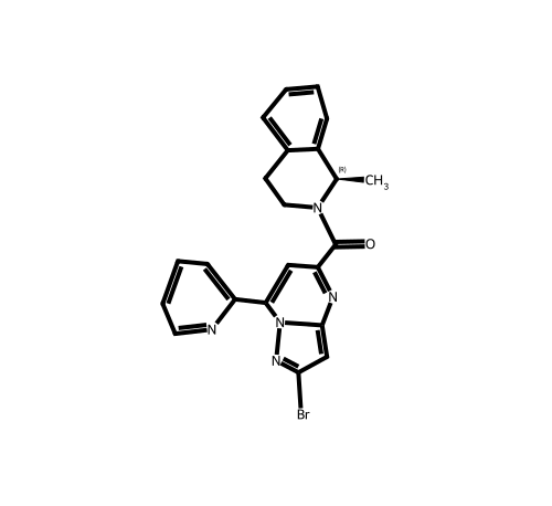 C[C@@H]1c2ccccc2CCN1C(=O)c1cc(-c2ccccn2)n2nc(Br)cc2n1